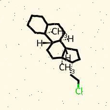 C[C@]12CC[C@H]3[C@@H](CCC4CCCC[C@@]43C)[C@@H]1CC[C@@H]2CCCl